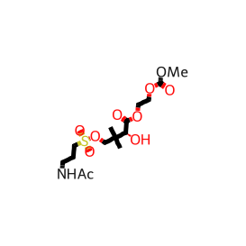 COC(=O)OCCOC(=O)[C@H](O)C(C)(C)COS(=O)(=O)CCCNC(C)=O